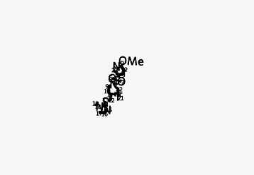 COc1ccc(S(=O)(=O)N2CCC(CSc3nccn3C)C(F)C2)cn1